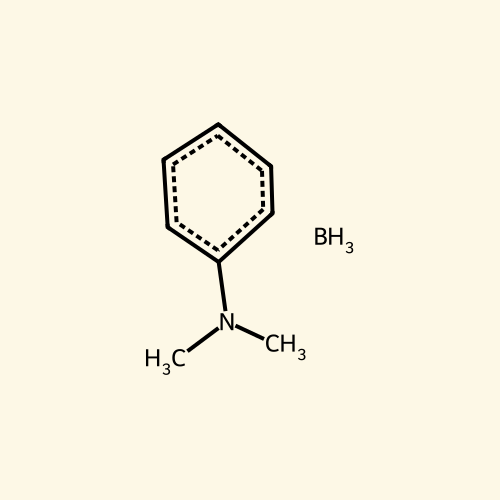 B.CN(C)c1ccccc1